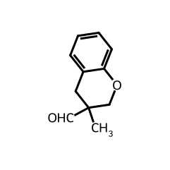 CC1(C=O)COc2ccccc2C1